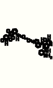 N[C@H]1CCCC[C@H]1Nc1cc2nc[nH]c(=O)c2c(Nc2cccc3c2ccn3CCOCCOCCNc2cccc3c2C(=O)N(C2CCC(=O)NC2=O)C3=O)n1